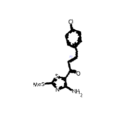 CSc1nc(N)c(C(=O)/C=C/c2ccc(Cl)cc2)s1